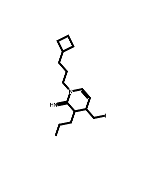 CCCC1C(=N)N(CCCC2CCC2)C=CC1CI